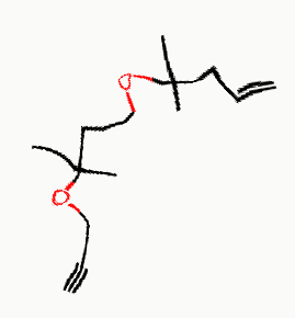 C#CCOC(C)(C)CCOC(C)(C)CC=C